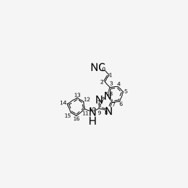 N#C/C=C/c1cccc2nc(Nc3ccccc3)nn12